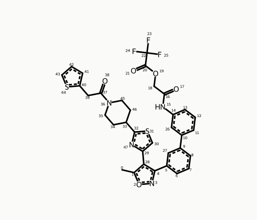 Cc1onc(-c2cccc(-c3cccc(NC(=O)COC(=O)C(F)(F)F)c3)c2)c1-c1csc(C2CCN(C(=O)Cc3cccs3)CC2)n1